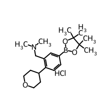 CN(C)Cc1cc(B2OC(C)(C)C(C)(C)O2)ccc1C1CCOCC1.Cl